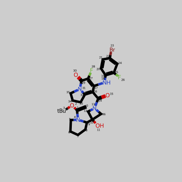 C=C(OC(C)(C)C)N1CCCCC1C1(O)CN(C(=O)c2c(Nc3ccc(Br)cc3F)c(F)c(=O)n3c2CCC3)C1